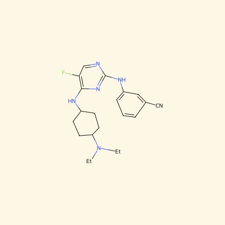 CCN(CC)C1CCC(Nc2nc(Nc3cccc(C#N)c3)ncc2F)CC1